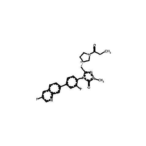 CCC(=O)N1CC[C@@H](Cc2nn(C)c(=O)n2-c2ccc(-c3ccc4cc(F)cnc4c3)cc2F)C1